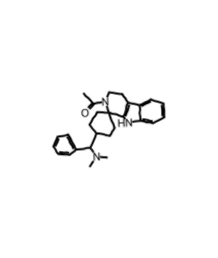 CC(=O)N1CCc2c([nH]c3ccccc23)C12CCC(C(c1ccccc1)N(C)C)CC2